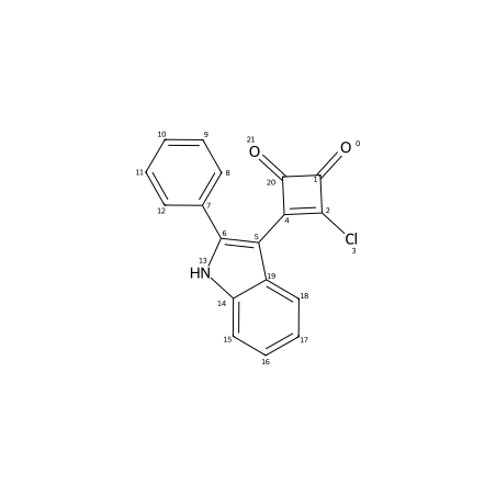 O=c1c(Cl)c(-c2c(-c3ccccc3)[nH]c3ccccc23)c1=O